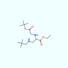 CCOC(=O)C(CNCC(C)(C)C)NCC(=O)OC(C)(C)C